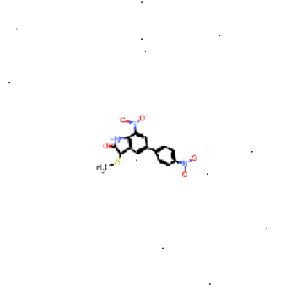 CSC1C(=O)Nc2c1cc(-c1ccc([N+](=O)[O-])cc1)cc2[N+](=O)[O-]